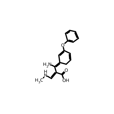 CN/C=C(C(=O)O)\C(N)=C1\C=C(Oc2ccccc2)C=CC1